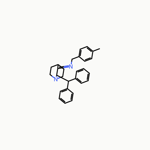 Cc1ccc(CN=C2C3CCN(CC3)C2C(c2ccccc2)c2ccccc2)cc1